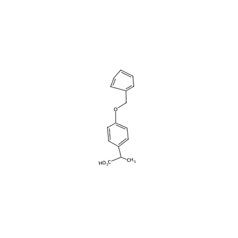 CC(C(=O)O)c1ccc(OCc2ccccc2)cc1